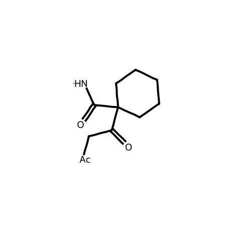 CC(=O)CC(=O)C1(C([NH])=O)CCCCC1